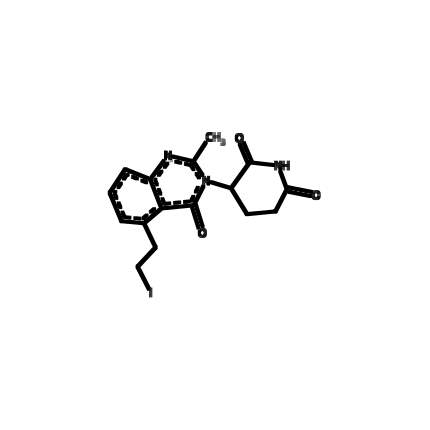 Cc1nc2cccc(CCI)c2c(=O)n1C1CCC(=O)NC1=O